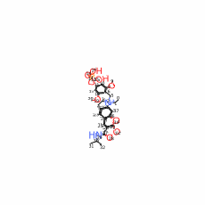 CC[N+](CC)(Cc1c(OC)cc(OP(=O)(O)O)cc1OC)c1ccc2cc(C(=O)NC(C)C)c(=O)oc2c1